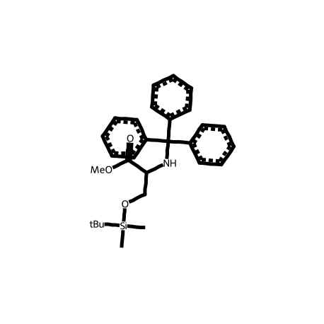 COC(=O)C(CO[Si](C)(C)C(C)(C)C)NC(c1ccccc1)(c1ccccc1)c1ccccc1